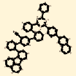 N#Cc1cc(-c2ccccc2-c2ccccc2-c2nc(-c3ccccc3)nc(-c3ccc(-c4ccc5ccccc5c4)cc3)n2)ccc1-c1ccccc1-c1cccc2c1-c1cccc3cccc-2c13